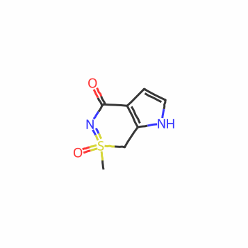 CS1(=O)=NC(=O)c2cc[nH]c2C1